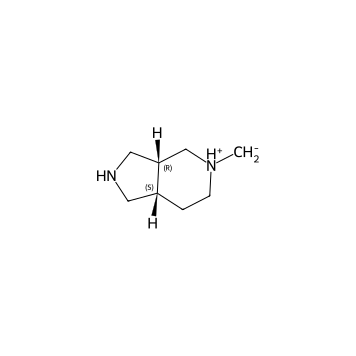 [CH2-][NH+]1CC[C@@H]2CNC[C@@H]2C1